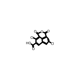 O=C(O)c1cc2cc(Cl)cc3c2c(c1Cl)C(=O)OC3=O